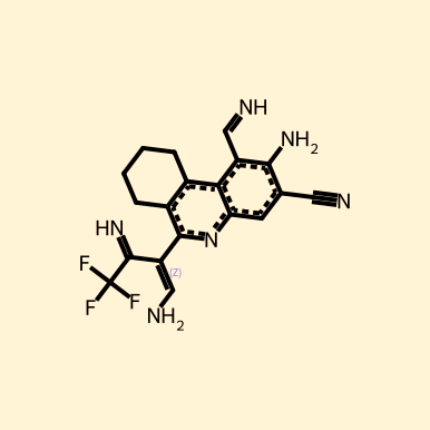 N#Cc1cc2nc(/C(=C/N)C(=N)C(F)(F)F)c3c(c2c(C=N)c1N)CCCC3